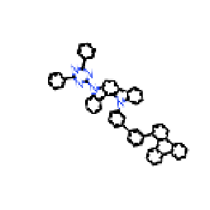 c1ccc(-c2nc(-c3ccccc3)nc(-n3c4ccccc4c4c3ccc3c5ccccc5n(-c5cccc(-c6cccc(-c7cccc8c9ccccc9c9ccccc9c78)c6)c5)c34)n2)cc1